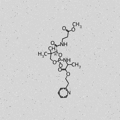 COC(=O)CCNC(=O)[C@@H]1OP(=O)(NC(C)C(=O)OCCc2ccccn2)OCC1(C)C